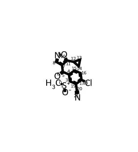 C[S+]([O-])c1c(C(=O)c2cnoc2C2CC2)ccc(Cl)c1C#N